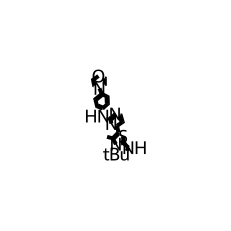 Cc1nc(NC(C)(C)C)sc1-c1ccnc(Nc2ccc(N3CCOCC3)cc2)n1